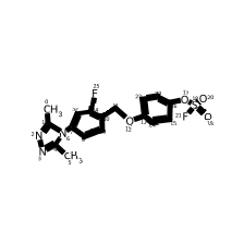 Cc1nnc(C)n1-c1ccc(COc2ccc(OS(=O)(=O)F)cc2)c(F)c1